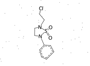 O=S1(=O)N(CCCl)CCN1c1ccccc1